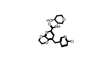 O=C(N[C@H]1COCC[C@@H]1O)c1cc(Cc2ccc(Cl)nc2)c2c(n1)OCCO2